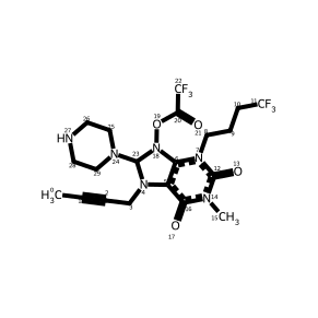 CC#CCN1c2c(n(CCCC(F)(F)F)c(=O)n(C)c2=O)N(OC(=O)C(F)(F)F)C1N1CCNCC1